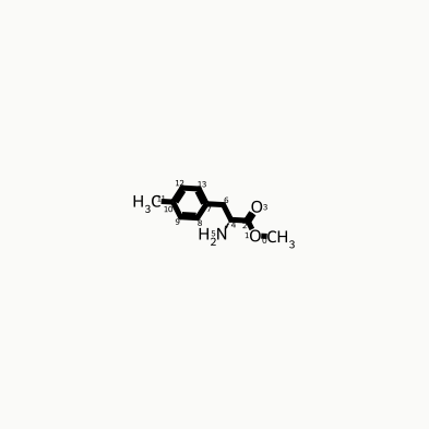 COC(=O)[C@H](N)Cc1ccc(C)cc1